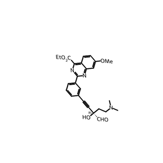 CCOC(=O)c1nc(-c2cccc(C#C[C@@](O)(C=O)CCN(C)C)c2)nc2cc(OC)ccc12